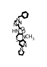 CN1C(=O)[C@@H](NC(=O)c2ncn(Cc3ccccc3)n2)CSc2cc(N3CCCC3)ncc21